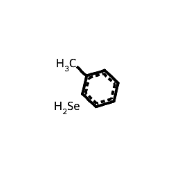 Cc1ccccc1.[SeH2]